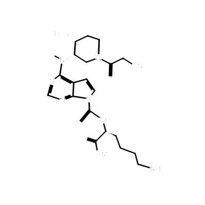 COC(=O)[C@H](CCCCN)NC(=S)n1ccc2c(N(C)[C@H]3CN(C(=O)CC#N)CC[C@H]3C)ncnc21